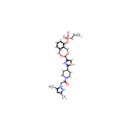 Cc1cc(C(F)(F)F)nn1CC(=O)N1CCC(c2nc(C3OCc4cccc(OS(=O)(=O)CCC(F)(F)F)c4CO3)cs2)CC1